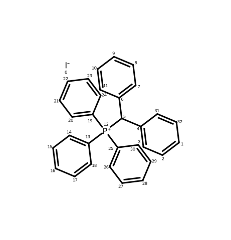 [I-].c1ccc(C(c2ccccc2)[P+](c2ccccc2)(c2ccccc2)c2ccccc2)cc1